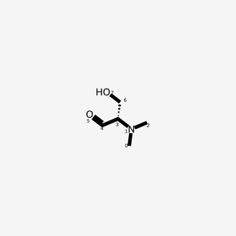 CN(C)[C@H]([C]=O)CO